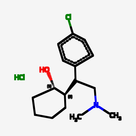 CN(C)CC(c1ccc(Cl)cc1)[C@H]1CCCC[C@@H]1O.Cl